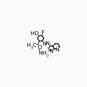 CC(OCN)c1cc(O)c(F)cc1/N=N/c1snc2ncccc12